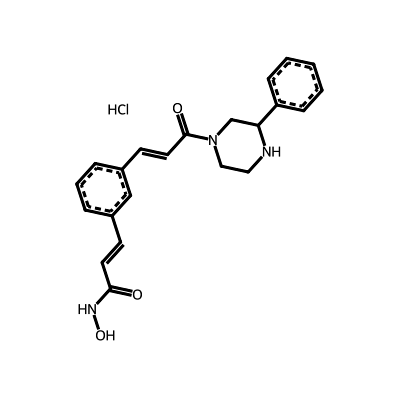 Cl.O=C(C=Cc1cccc(C=CC(=O)N2CCNC(c3ccccc3)C2)c1)NO